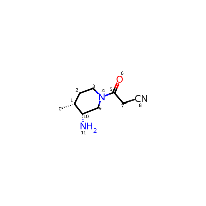 C[C@@H]1CCN(C(=O)CC#N)C[C@@H]1N